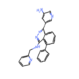 Nc1cncc(-c2nnc(NCc3ccccn3)c3c(-c4ccccc4)cccc23)c1